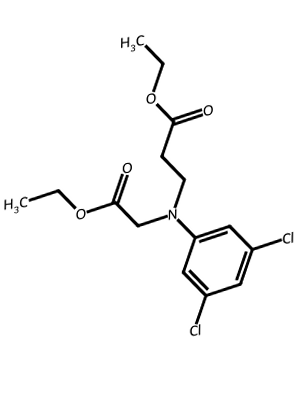 CCOC(=O)CCN(CC(=O)OCC)c1cc(Cl)cc(Cl)c1